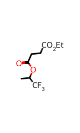 CCOC(=O)CCC(=O)OC(C)C(F)(F)F